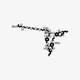 C/C=C/C1=CN2C(=O)c3cc(OC)c(OCCCOc4cc5c(cc4OC)C(=O)N4C=C(/C=C/C)C[C@H]4[C@H](O)N5C(=O)OCc4ccc(NC(=O)[C@H](C)NC(=O)[C@@H](NC(=O)CCOCCOCCOCCOCCNC(=O)CC(C)SC)C(C)C)cc4)cc3N=C[C@@H]2C1